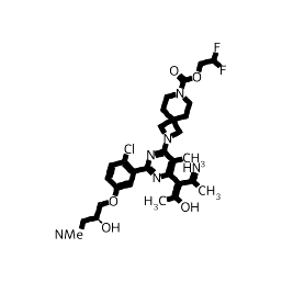 CNC[C@@H](O)COc1ccc(Cl)c(-c2nc(/C(C(C)=N)=C(\C)O)c(C)c(N3CC4(CCN(C(=O)OCC(F)F)CC4)C3)n2)c1